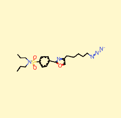 CCCN(CCC)S(=O)(=O)c1ccc(-c2nc(CCCCCN=[N+]=[N-])co2)cc1